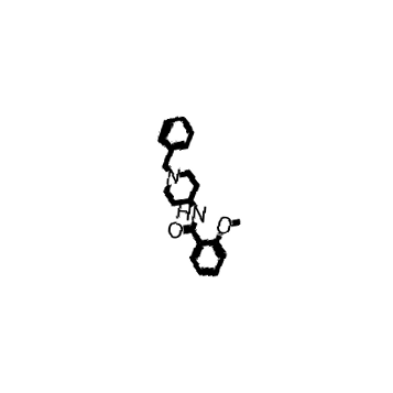 COc1ccccc1C(=O)NC1CCN(Cc2ccccc2)CC1